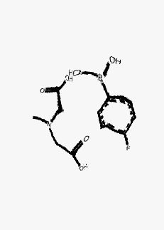 CN(CC(=O)O)CC(=O)O.OB(O)c1ccc(F)cc1